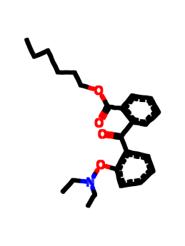 CCCCCCOC(=O)c1ccccc1C(=O)c1ccccc1ON(CC)CC